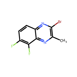 Cc1nc2c(F)c(F)ccc2nc1Br